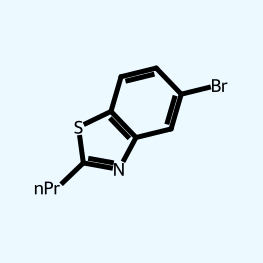 CCCc1nc2cc(Br)ccc2s1